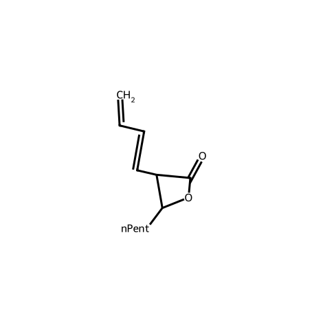 C=CC=CC1C(=O)OC1CCCCC